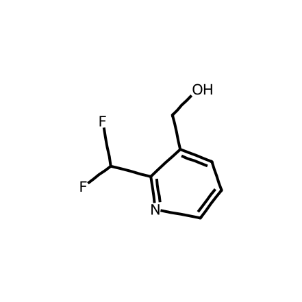 OCc1cccnc1C(F)F